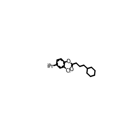 CC(C)c1ccc(OC(=O)CCCC2CCCCC2)c(Cl)c1